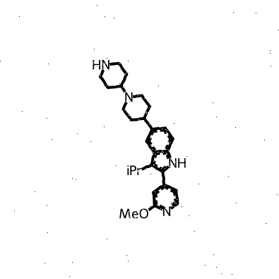 COc1cc(-c2[nH]c3ccc(C4CCN(C5CCNCC5)CC4)cc3c2C(C)C)ccn1